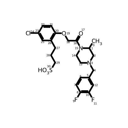 CC1CN(Cc2ccc(F)c(F)c2)CCN1C(=O)COc1ccc(Cl)cc1CCCS(=O)(=O)O